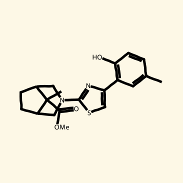 COC(=O)C1(C)C2CCC1CN(c1nc(-c3cc(C)ccc3O)cs1)C2